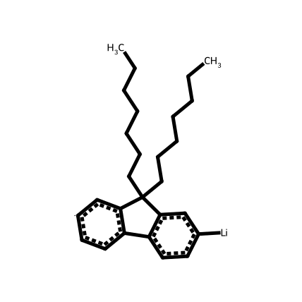 [Li][c]1ccc2c(c1)C(CCCCCCC)(CCCCCCC)c1c[c]ccc1-2